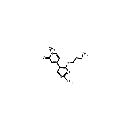 CCCCOc1nc(C)ncc1-c1ccn(C)c(=O)c1